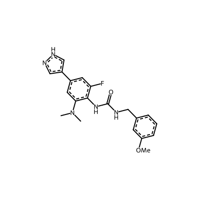 COc1cccc(CNC(=O)Nc2c(F)cc(-c3cn[nH]c3)cc2N(C)C)c1